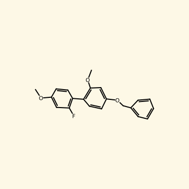 COc1ccc(-c2ccc(OCc3ccccc3)cc2OC)c(F)c1